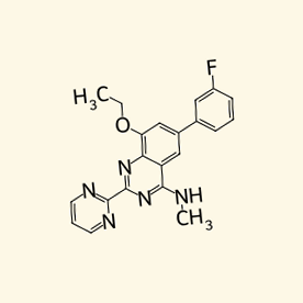 CCOc1cc(-c2cccc(F)c2)cc2c(NC)nc(-c3ncccn3)nc12